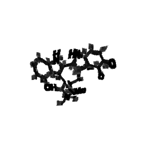 CNCCc1c(-c2[nH]c3cccc(O)c3c2CCN(C)C)[nH]c2c1C(=O)C(=O)C=C2